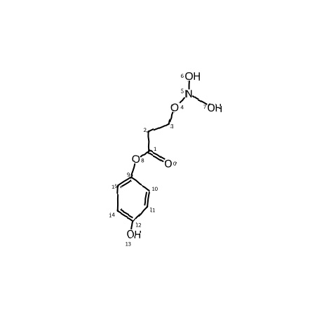 O=C(CCON(O)O)Oc1ccc(O)cc1